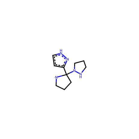 c1cc(C2(N3CCCN3)CCC[N]2)n[nH]1